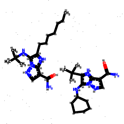 CC(C)(C)c1[nH]c2c(C(N)=O)cnn2c1NC1CCCCC1.CCCCCCCc1[nH]c2c(C(N)=O)cnn2c1NC(C)(C)C